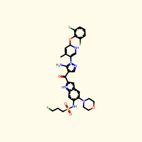 CC1=CC(Oc2c(F)cccc2F)NC=C1n1ncc(C(=O)c2cc3cc(N4CCOCC4)c(NS(=O)(=O)CCCF)cc3[nH]2)c1N